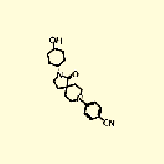 N#Cc1ccc(N2CCC3(CC2)CCN([C@H]2CC[C@H](O)CC2)C3=O)cc1